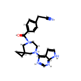 N#CCc1ccc(C(=O)N2CCN(c3ncnc4[nH]ccc34)CC3(CC3)C2)cc1